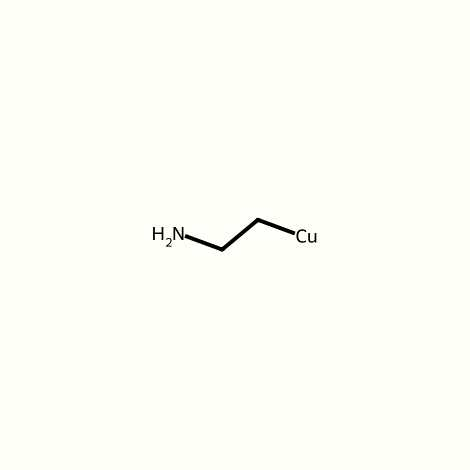 NC[CH2][Cu]